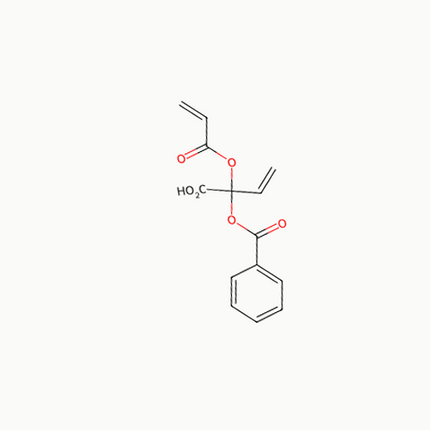 C=CC(=O)OC(C=C)(OC(=O)c1ccccc1)C(=O)O